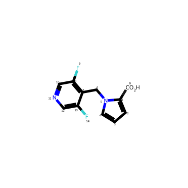 O=C(O)c1cccn1Cc1c(F)cncc1F